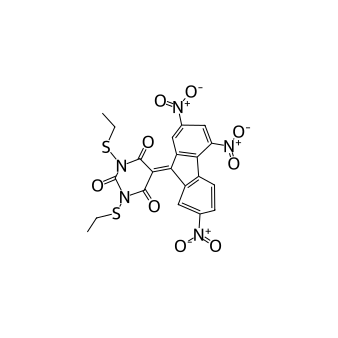 CCSN1C(=O)C(=C2c3cc([N+](=O)[O-])ccc3-c3c2cc([N+](=O)[O-])cc3[N+](=O)[O-])C(=O)N(SCC)C1=O